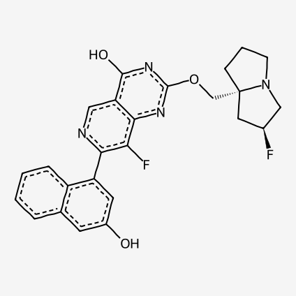 Oc1cc(-c2ncc3c(O)nc(OC[C@]45CCCN4C[C@@H](F)C5)nc3c2F)c2ccccc2c1